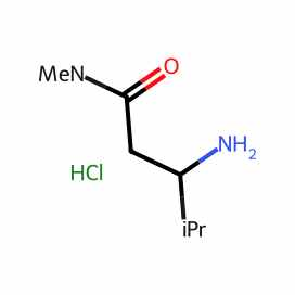 CNC(=O)CC(N)C(C)C.Cl